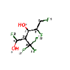 OC(F)C(C(O)C(F)CF)C(F)(F)F